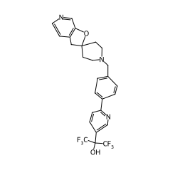 OC(c1ccc(-c2ccc(CN3CCC4(CC3)Cc3ccncc3O4)cc2)nc1)(C(F)(F)F)C(F)(F)F